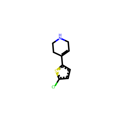 Clc1ccc(C2=CCNCC2)s1